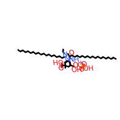 CC1(C(=O)O)C=CC=C(C(=O)O)C1.CCCCCCCCCCCCCCCCCCC1=NC(N)(C(=O)CCCCCCCCCCCCCCCCC)CN1CC.COS(=O)(=O)O